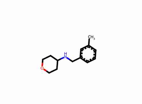 Cc1cccc(CNC2CCOCC2)c1